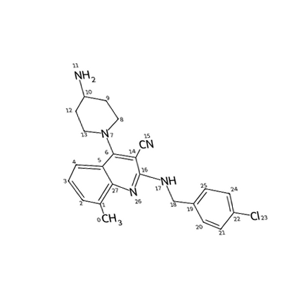 Cc1cccc2c(N3CCC(N)CC3)c(C#N)c(NCc3ccc(Cl)cc3)nc12